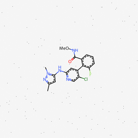 CONC(=O)c1cccc(F)c1-c1cc(Nc2cc(C)nn2C)ncc1Cl